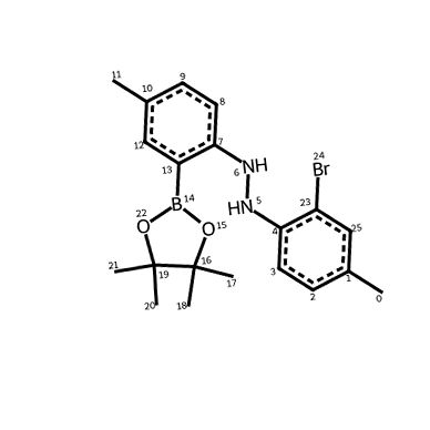 Cc1ccc(NNc2ccc(C)cc2B2OC(C)(C)C(C)(C)O2)c(Br)c1